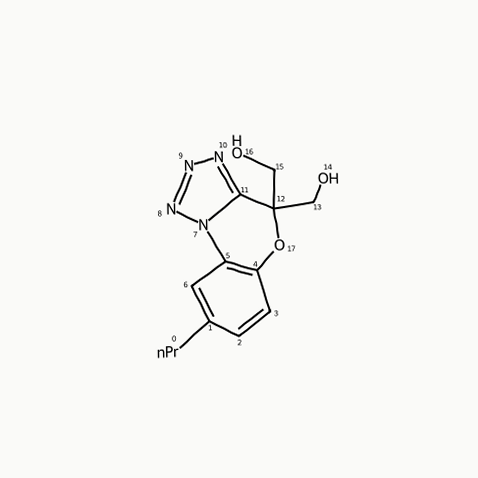 CCCc1ccc2c(c1)-n1nnnc1C(CO)(CO)O2